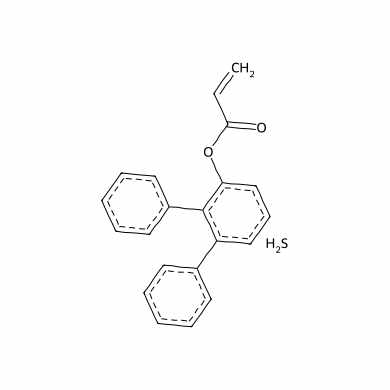 C=CC(=O)Oc1cccc(-c2ccccc2)c1-c1ccccc1.S